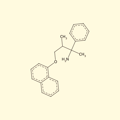 CC(COc1cccc2ccccc12)C(C)(N)c1ccccc1